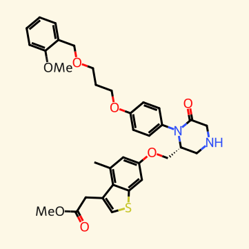 COC(=O)Cc1csc2cc(OC[C@H]3CNCC(=O)N3c3ccc(OCCCOCc4ccccc4OC)cc3)cc(C)c12